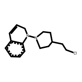 ClCCC1CCN(N2CC=Cc3ccccc32)CC1